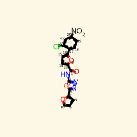 O=C(Nc1nnc(-c2ccco2)o1)c1ccc(-c2ccc([N+](=O)[O-])cc2Cl)o1